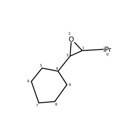 CC(C)C1OC1C1CCCCC1